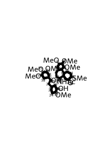 COc1cc2c(c(OC)c1OC)-c1ccc(SC)c(=O)cc1[C@@H](NC(C)=O)CC2.COc1ccc(C[C@@H](O)c2cc(OC)c(OC)c(OC)c2)cc1O